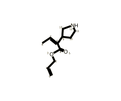 C=CCOC(=O)C(=CC)C1CCNC1